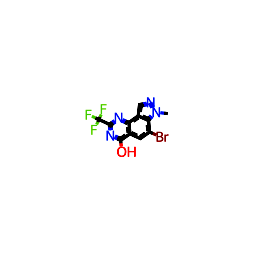 Cn1ncc2c3nc(C(F)(F)F)nc(O)c3cc(Br)c21